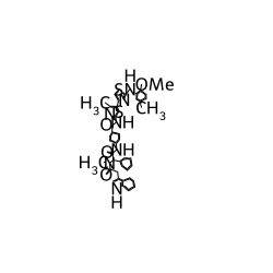 COc1ccc(C)cc1Nc1nc(-c2sc(NC(=O)c3ccc(NC(=O)C(c4ccccc4)N(C)C(=O)Cc4c[nH]c5ccccc45)cc3)nc2C)cs1